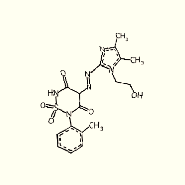 Cc1ccccc1N1C(=O)C(N=Nc2nc(C)c(C)n2CCO)C(=O)NS1(=O)=O